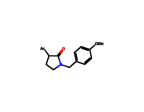 COc1ccc(CN2CCC(C(C)=O)C2=O)cc1